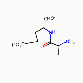 C[C@@H](N)C(=O)N[C@@H]([C]=O)CCC(=O)O